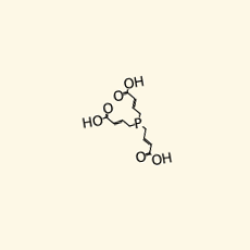 O=C(O)C=CCP(CC=CC(=O)O)CC=CC(=O)O